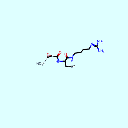 CC(C)CC(NC(=O)[C@@H]1O[C@H]1C(=O)O)C(=O)NCCCCN=C(N)N